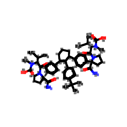 CC(C)[C@@H](C(=O)N1CCC[C@@]1(C(N)=O)c1ccc(C2=C(c3ccc(C(C)(C)C)cc3)C(c3ccc([C@]4(C(N)=O)CCCN4C(=O)[C@H](C(C)C)N(C)C(=O)O)cc3)CCC2)cc1)N(C)C(=O)O